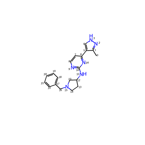 Cc1n[nH]cc1-c1ccnc(NC2CCN(Cc3ccccc3)C2)n1